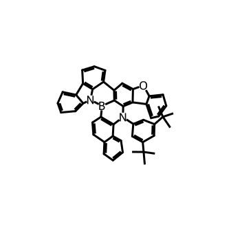 CC(C)(C)c1cc(N2c3c(ccc4ccccc34)B3c4c(cc5oc6ccccc6c5c42)-c2cccc4c5ccccc5n3c24)cc(C(C)(C)C)c1